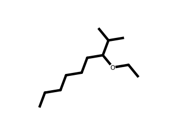 CCCCCCC(OCC)C(C)C